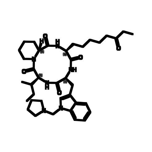 CCC(=O)CCCCC[C@@H]1NC(=O)[C@H]2CCCCN2C(=O)[C@H](C(C)CC)NC(=O)[C@H](Cc2cn(CN3CCCC3)c3ccccc23)NC1=O